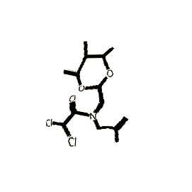 C=C(C)CN(CC1OC(C)C(C)C(C)O1)C(=O)C(Cl)Cl